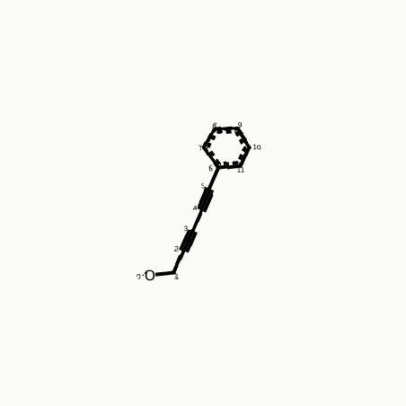 [O]CC#CC#Cc1ccccc1